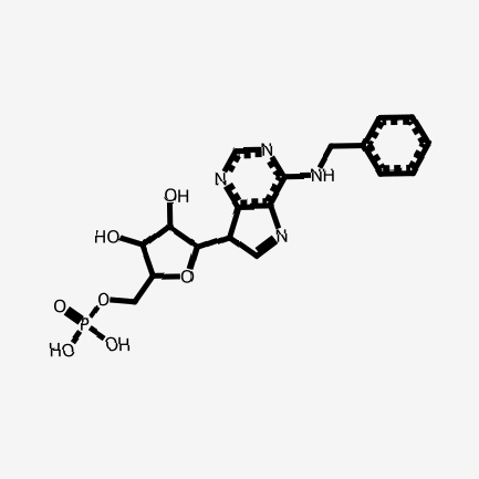 O=P(O)(O)OCC1OC(C2C=Nc3c(NCc4ccccc4)ncnc32)C(O)C1O